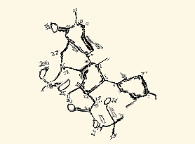 Cc1ccc(-c2c(C)c3c(c(C)c2[C@H](OC(C)(C)C)C(=O)O)N(S(C)(=O)=O)Cc2c-3ccn(C)c2=O)cc1